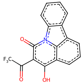 O=C(c1c(O)c2cccc3c4ccccc4n(c1=O)c23)C(F)(F)F